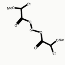 CCC(OC)C(=O)O[Si]OC(=O)C(CC)OC